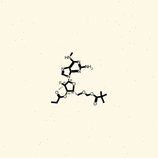 CCC(=O)O[C@@H]1[C@@H](COCOC(=O)C(C)(C)C)O[C@@H](n2cnc3c(NC)nc(N)nc32)[C@]1(C)F